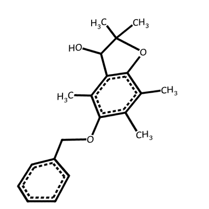 Cc1c(C)c2c(c(C)c1OCc1ccccc1)C(O)C(C)(C)O2